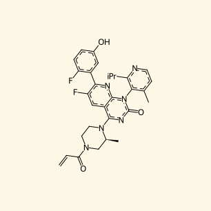 C=CC(=O)N1CCN(c2nc(=O)n(-c3c(C)ccnc3C(C)C)c3nc(-c4cc(O)ccc4F)c(F)cc23)[C@@H](C)C1